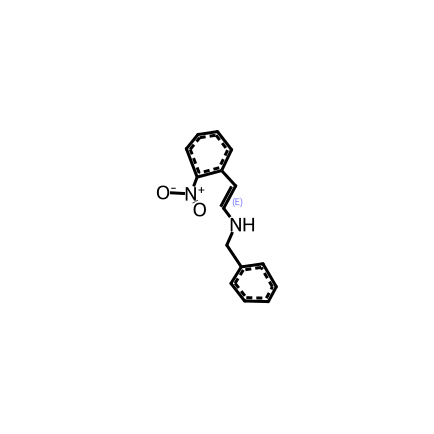 O=[N+]([O-])c1ccccc1/C=C/NCc1ccccc1